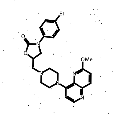 CCc1ccc(N2CC(CN3CCN(c4ccnc5ccc(OC)nc45)CC3)OC2=O)cc1